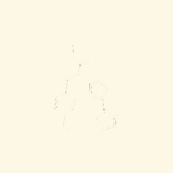 COc1ccc(CN(C(=O)OC(C)(C)C)c2ncc(-c3cn[nH]c3)s2)cc1